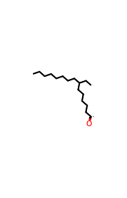 CCCCCCCCC(CC)CCCCC[C]=O